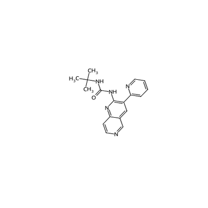 CC(C)(C)NC(=O)Nc1nc2ccncc2cc1-c1ccccn1